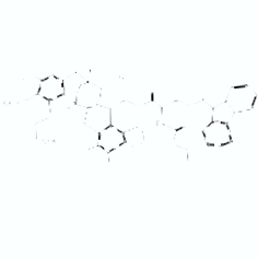 COCOc1c(OC)c(C)cc2c1[C@@H]1N[C@H](C2)[C@H](C#N)N2C1Cc1c(O)c(C)c3c(c1[C@@H]2COC(=O)[C@@H](CSCC1c2ccccc2C2C=CC=CC21)NC(=O)OCC(Cl)(Cl)Cl)OCO3